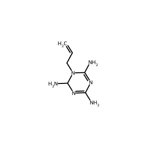 C=CCN1C(N)=NC(N)=NC1N